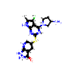 CCc1[nH]c2nc(Sc3cnc4[nH][nH]c(=O)c4c3)nc(N3CCC(N)C3)c2c1Cl